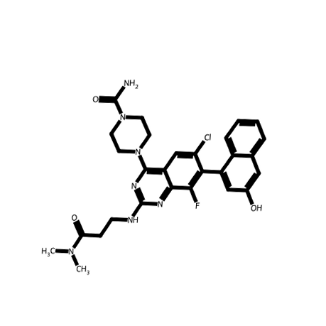 CN(C)C(=O)CCNc1nc(N2CCN(C(N)=O)CC2)c2cc(Cl)c(-c3cc(O)cc4ccccc34)c(F)c2n1